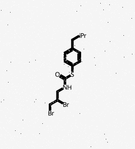 CC(C)Cc1ccc(SC(=O)NCC(Br)CBr)cc1